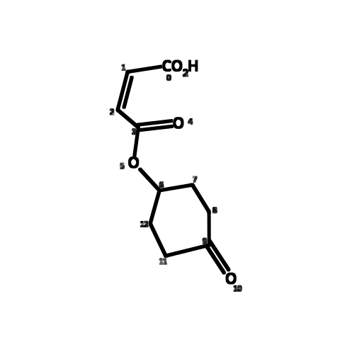 O=C(O)/C=C\C(=O)OC1CCC(=O)CC1